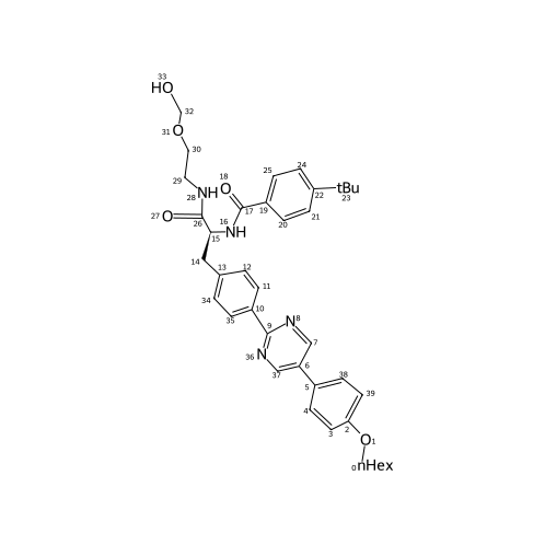 CCCCCCOc1ccc(-c2cnc(-c3ccc(C[C@H](NC(=O)c4ccc(C(C)(C)C)cc4)C(=O)NCCOCO)cc3)nc2)cc1